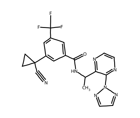 CC(NC(=O)c1cc(C(F)(F)F)cc(C2(C#N)CC2)c1)c1nccnc1-n1nccn1